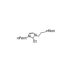 CCCCCCCCCCCCN1C=CN(CCCCC)C1CC